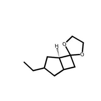 CCC1CC2CC3(OCCO3)[C@@H]2C1